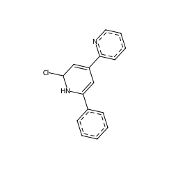 ClC1C=C(c2ccccn2)C=C(c2ccccc2)N1